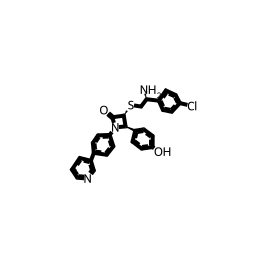 N[C@@H](CS[C@H]1C(=O)N(c2ccc(-c3cccnc3)cc2)[C@@H]1c1ccc(O)cc1)c1ccc(Cl)cc1